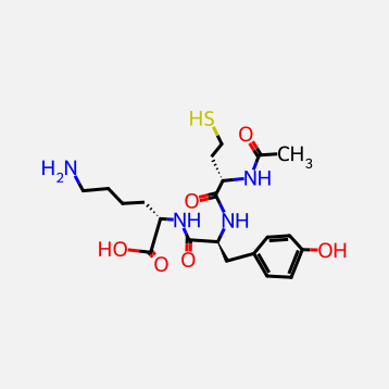 CC(=O)N[C@@H](CCS)C(=O)N[C@@H](Cc1ccc(O)cc1)C(=O)N[C@@H](CCCCN)C(=O)O